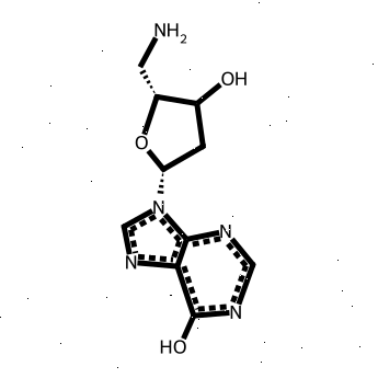 NC[C@H]1O[C@@H](n2cnc3c(O)ncnc32)CC1O